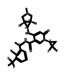 C[C@@H](NC(=O)c1cn([C@H]2CC2(F)F)c(=O)cc1N[C@H]1[C@@H]2CN(C)C[C@@H]21)c1cccc(C(C)(F)F)c1F